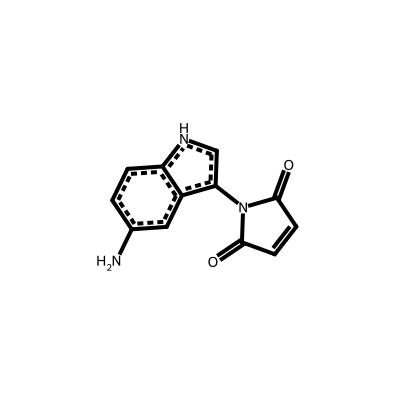 Nc1ccc2[nH]cc(N3C(=O)C=CC3=O)c2c1